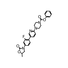 CC1CN(c2ccc(-c3ccc(N4CCN(C(=O)Oc5ccccc5)CC4)nc3)c(F)c2)C(=O)O1